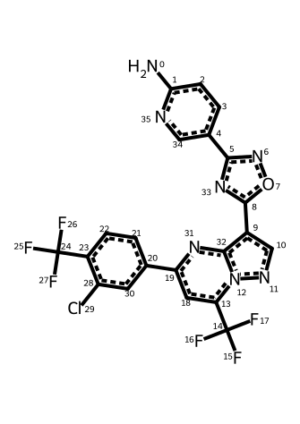 Nc1ccc(-c2noc(-c3cnn4c(C(F)(F)F)cc(-c5ccc(C(F)(F)F)c(Cl)c5)nc34)n2)cn1